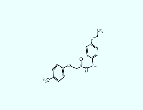 CC(NC(=O)COc1ccc(C(F)(F)F)cc1)c1cnc(OCC(F)(F)F)cn1